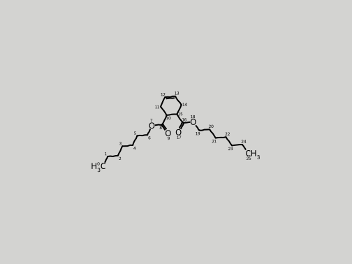 CCCCCCCOC(=O)C1CC=CCC1C(=O)OCCCCCCC